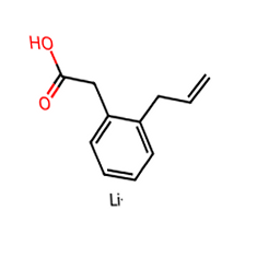 C=CCc1ccccc1CC(=O)O.[Li]